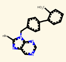 CCCCc1nc2cncnc2n1Cc1ccc(-c2ccccc2C(=O)O)cc1